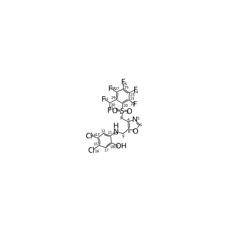 O=S(=O)(Cc1ncoc1CNc1cc(Cl)c(Cl)cc1O)c1c(F)c(F)c(F)c(F)c1C(F)F